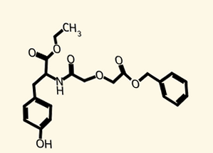 CCOC(=O)C(Cc1ccc(O)cc1)NC(=O)COCC(=O)OCc1ccccc1